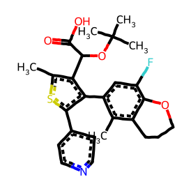 Cc1sc(-c2ccncc2)c(-c2cc(F)c3c(c2C)CCCO3)c1C(OC(C)(C)C)C(=O)O